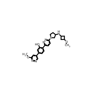 COc1cc(-c2ccc(-c3ccc(N4CCC(NC5CC(OC)C5)C4)nn3)c(O)c2)cnn1